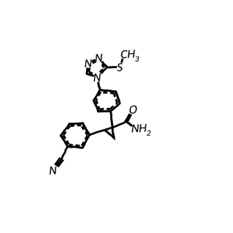 CSc1nncn1-c1ccc(C2(C(N)=O)CC2c2cccc(C#N)c2)cc1